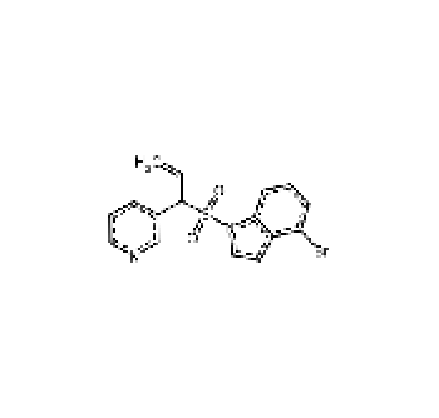 C=CC(c1cccnc1)S(=O)(=O)n1ccc2c(Br)cccc21